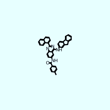 Cc1ccc(C(=O)Nc2ccc3nc(-c4cccc5ccccc45)nc(Nc4ccc5c(c4)Cc4ccccc4-5)c3c2)cc1